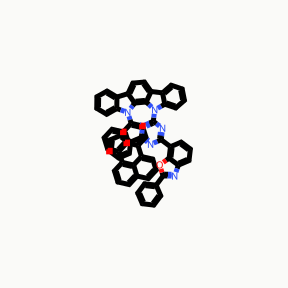 c1ccc(-c2nc(-c3cccc4nc(-c5ccccc5)oc34)nc(-n3c4ccccc4c4ccc5c6ccccc6n(-c6ccc(-c7cccc8cccc(-c9ccccc9)c78)cc6)c5c43)n2)cc1